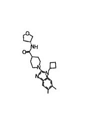 Cc1cc2nc(N3CCC(C(=O)N[C@@H]4CCOC4)CC3)n(C3CCC3)c2cc1C